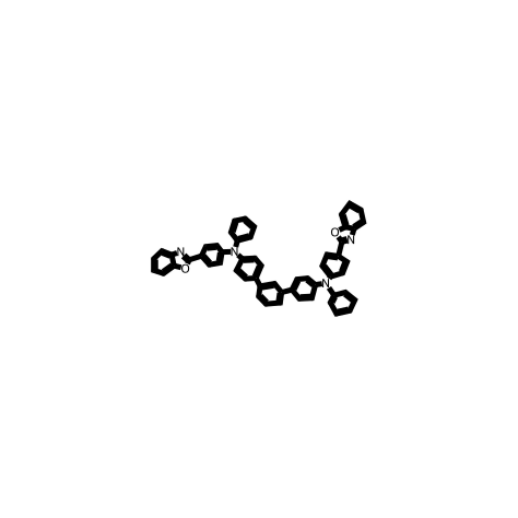 c1ccc(N(c2ccc(-c3cccc(-c4ccc(N(c5ccccc5)c5ccc(-c6nc7ccccc7o6)cc5)cc4)c3)cc2)c2ccc(-c3nc4ccccc4o3)cc2)cc1